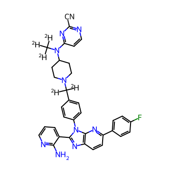 [2H]C([2H])([2H])N(c1ccnc(C#N)n1)C1CCN(C([2H])([2H])c2ccc(-n3c(-c4cccnc4N)nc4ccc(-c5ccc(F)cc5)nc43)cc2)CC1